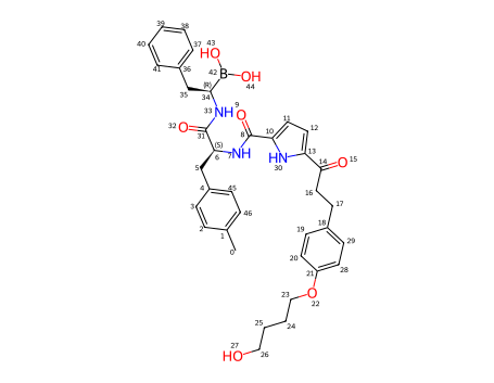 Cc1ccc(C[C@H](NC(=O)c2ccc(C(=O)CCc3ccc(OCCCCO)cc3)[nH]2)C(=O)N[C@@H](Cc2ccccc2)B(O)O)cc1